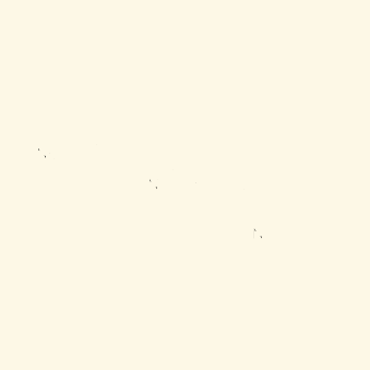 Cc1cc2c(-c3cnc4ccccc4c3)cccc2n1-c1ccc(C#N)cc1